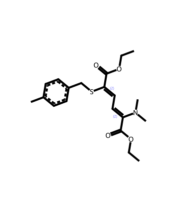 CCOC(=O)/C(=C/C=C(/C(=O)OCC)N(C)C)SCc1ccc(C)cc1